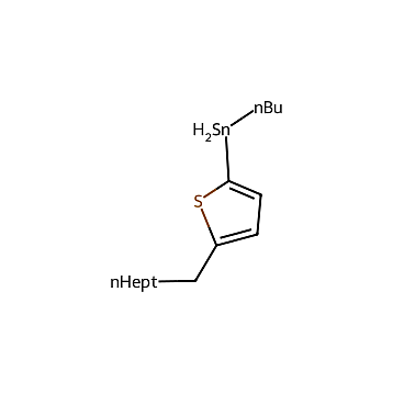 CCCCCCCCc1cc[c]([SnH2][CH2]CCC)s1